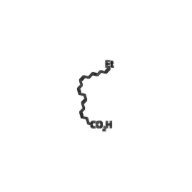 CC/C=C\C/C=C/C/C=C\C/C=C\C/C=C/C/C=C\CCC(=O)O